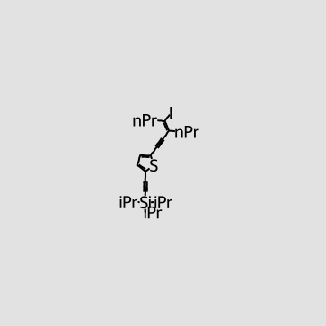 CCC/C(I)=C(\C#Cc1ccc(C#C[Si](C(C)C)(C(C)C)C(C)C)s1)CCC